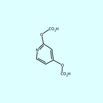 O=C(O)Oc1ccnc(OC(=O)O)c1